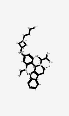 C[C@@H]1Cc2c([nH]c3ccccc23)C(c2ccc(NC3CN(CCCF)C3)cc2OCF)N1C(F)C(F)F